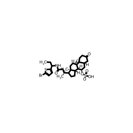 CCC(NC(=O)C[C@@H](C)C1CC[C@H]2[C@@H]3[C@H](OS(=O)(=O)O)C[C@@H]4CC(=O)CC[C@]4(C)[C@H]3CC[C@]12C)c1ccc(Br)s1